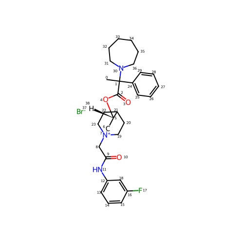 CC(C(=O)O[C@H]1C[N+]2(CC(=O)Nc3cccc(F)c3)CCC1CC2)(c1ccccc1)N1CCCCCC1.[Br-]